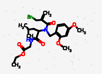 C=C(CBr)C(=O)N(Cc1ccc(OC)cc1OC)C(CC(C)C)C(=O)NCC(=O)OCC